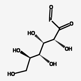 O=PC(=O)[C@H](O)[C@@H](O)[C@H](O)[C@H](O)CO